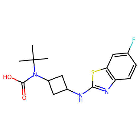 CC(C)(C)N(C(=O)O)C1CC(Nc2nc3ccc(F)cc3s2)C1